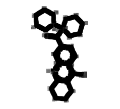 O=C(c1ccc2c(Cl)c3c(nc2c1)CCCC3)[N+]1(N2CCCCC2)CCCCC1